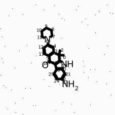 CC1(C)c2cc(N3CCCCC3)ccc2C(=O)c2c1[nH]c1cc(N)ccc21